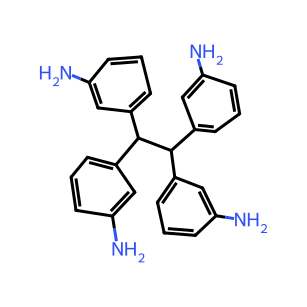 Nc1cccc(C(c2cccc(N)c2)C(c2cccc(N)c2)c2cccc(N)c2)c1